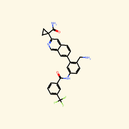 NCc1ccc(NC(=O)c2cccc(C(F)(F)F)c2)cc1-c1ccc2cc(C3(C(N)=O)CC3)ncc2c1